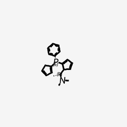 C[C@H](C1C=CC=C1[P@](C1=CC=CC1)c1ccccc1)N(C)C